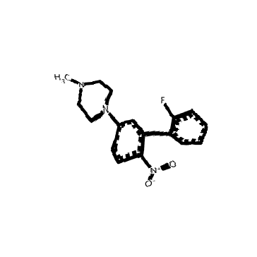 CN1CCN(c2ccc([N+](=O)[O-])c(-c3ccccc3F)c2)CC1